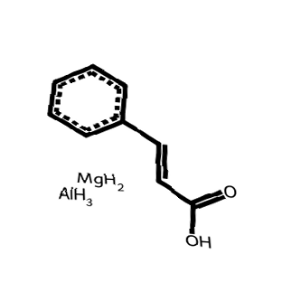 O=C(O)/C=C/c1ccccc1.[AlH3].[MgH2]